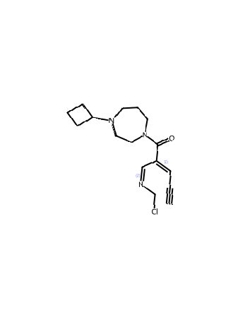 C#C/C=C(\C=N/CCl)C(=O)N1CCCN(C2CCC2)CC1